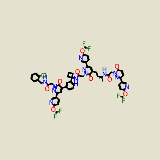 C[C@@H](CCc1cc(-c2ccc(OC(F)F)nc2)nn(CC(=O)NC2(c3cccc(-c4cc(-c5ccc(OC(F)F)nc5)nn(CC(=O)NCc5ccccc5Cl)c4=O)c3)CCC2)c1=O)NC(=O)Cn1nc(-c2ccc(OC(F)F)nc2)ccc1=O